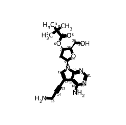 CC(C)(C)C(=O)O[C@H]1C[C@H](n2cc(C#CCN)c3c(N)ncnc32)O[C@@H]1CO